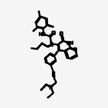 CCCCN(C(=O)Nc1c(C)cc(C)cc1C)c1c(-c2cccc(C#CCN(CC)CC)c2)c2cccnc2[nH]c1=O